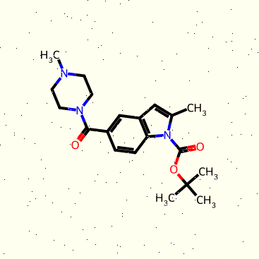 Cc1cc2cc(C(=O)N3CCN(C)CC3)ccc2n1C(=O)OC(C)(C)C